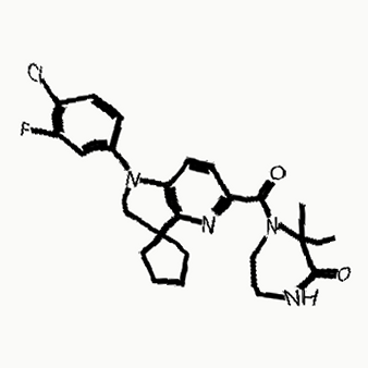 CC1(C)C(=O)NCCN1C(=O)c1ccc2c(n1)C1(CCCC1)CN2c1ccc(Cl)c(F)c1